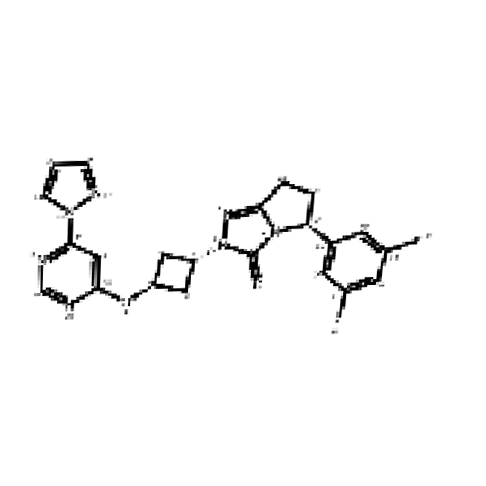 O=c1n2c(nn1[C@H]1C[C@H](Oc3cc(-n4cccn4)ncn3)C1)CC[C@H]2c1cc(F)cc(F)c1